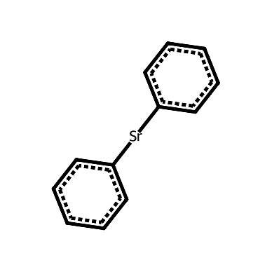 c1cc[c]([Sr][c]2ccccc2)cc1